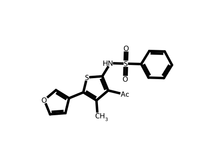 CC(=O)c1c(NS(=O)(=O)c2ccccc2)sc(-c2ccoc2)c1C